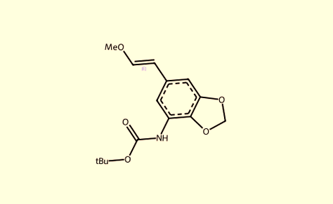 CO/C=C/c1cc(NC(=O)OC(C)(C)C)c2c(c1)OCO2